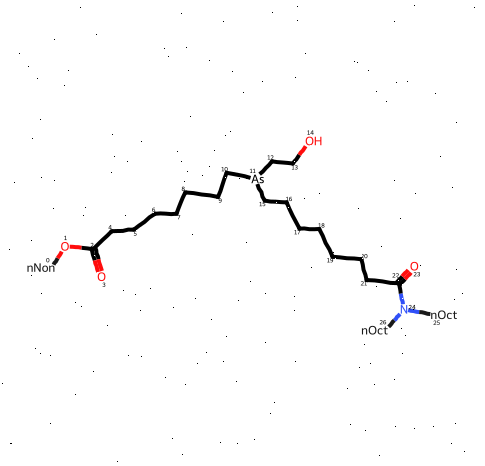 CCCCCCCCCOC(=O)CCCCCCC[As](CCO)CCCCCCCC(=O)N(CCCCCCCC)CCCCCCCC